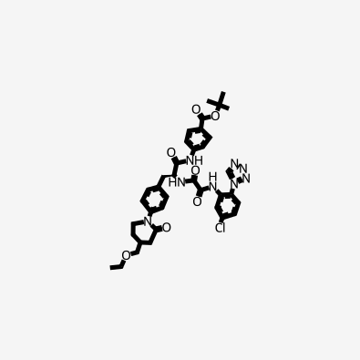 CCOCC1CCN(c2ccc(C[C@H](NC(=O)C(=O)Nc3cc(Cl)ccc3-n3cnnn3)C(=O)Nc3ccc(C(=O)OC(C)(C)C)cc3)cc2)C(=O)C1